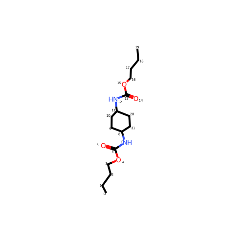 CCCCOC(=O)NC1CCC(NC(=O)OCCCC)CC1